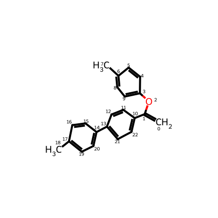 C=C(Oc1ccc(C)cc1)c1ccc(-c2ccc(C)cc2)cc1